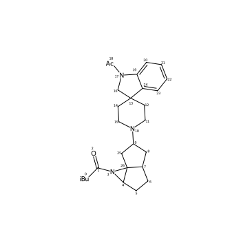 CCC(C)C(=O)N1C2CCC3CC(N4CCC5(CC4)CN(C(C)=O)c4ccccc45)CC321